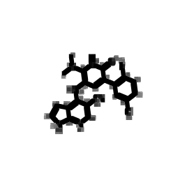 CN(C)c1[nH]c(=O)c(-c2cc(Cl)ccc2F)cc1Nc1c(C#N)cnc2[nH]ccc12